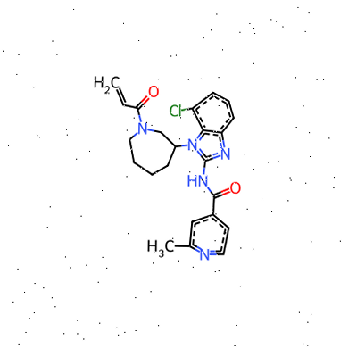 C=CC(=O)N1CCCCC(n2c(NC(=O)c3ccnc(C)c3)nc3cccc(Cl)c32)C1